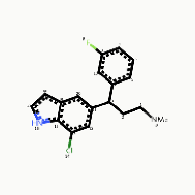 CNCCC(c1cccc(F)c1)c1cc(Cl)c2[nH]ccc2c1